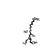 CCCCCCCCCCCCCCCCSCC(O)CN(CCO)CCO.Cl